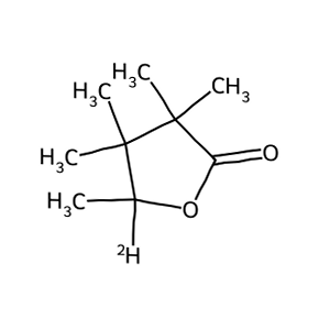 [2H]C1(C)OC(=O)C(C)(C)C1(C)C